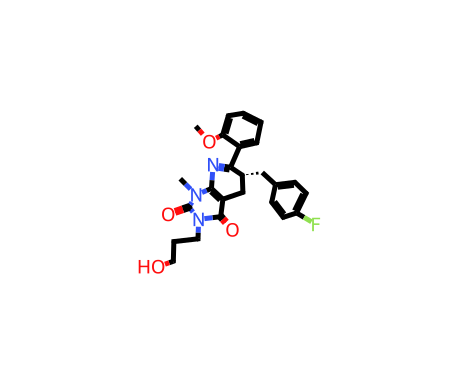 COc1ccccc1C1=Nc2c(c(=O)n(CCCO)c(=O)n2C)C[C@H]1Cc1ccc(F)cc1